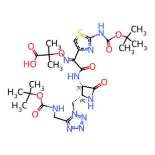 CC(C)(C)OC(=O)NCc1nnnn1C[C@H]1NC(=O)[C@H]1NC(=O)C(=NOC(C)(C)C(=O)O)c1csc(NC(=O)OC(C)(C)C)n1